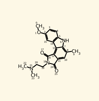 COc1ccc2[nH]c3c(C)cc4c(c3c2c1)C(=O)N(CCN(C)C)C4=O